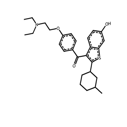 CCN(CC)CCOc1ccc(C(=O)c2c(C3CCCC(C)C3)sc3cc(O)ccc23)cc1